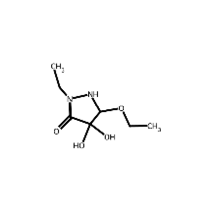 CCOC1NN(CC)C(=O)C1(O)O